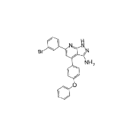 Nc1n[nH]c2nc(-c3cccc(Br)c3)cc(-c3ccc(Oc4ccccc4)cc3)c12